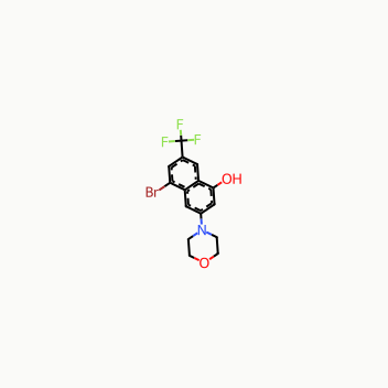 Oc1cc(N2CCOCC2)cc2c(Br)cc(C(F)(F)F)cc12